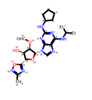 CCC(CC)Nc1nc(NC2CCCC2)nc2c1ncn2[C@@H]1O[C@H](c2nc(C)no2)[C@@H](O)[C@H]1OC=O